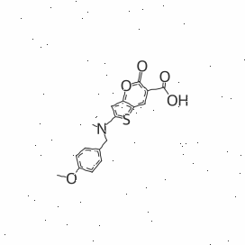 COc1ccc(CN(C)c2cc3oc(=O)c(C(=O)O)cc3s2)cc1